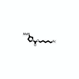 CNC1CCN(C(=O)OCCCCCC(C)=O)C1